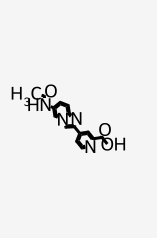 CC(=O)Nc1ccc2nc(-c3ccnc(C(=O)O)c3)cn2c1